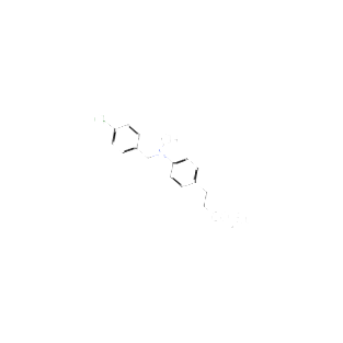 CCOC(=O)CCc1ccc(N(C)Cc2ccc(Cl)cc2)cc1